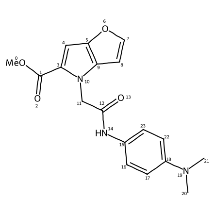 COC(=O)c1cc2occc2n1CC(=O)Nc1ccc(N(C)C)cc1